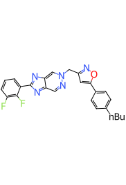 CCCCc1ccc(-c2cc(Cn3cc4nc(-c5cccc(F)c5F)nc-4cn3)no2)cc1